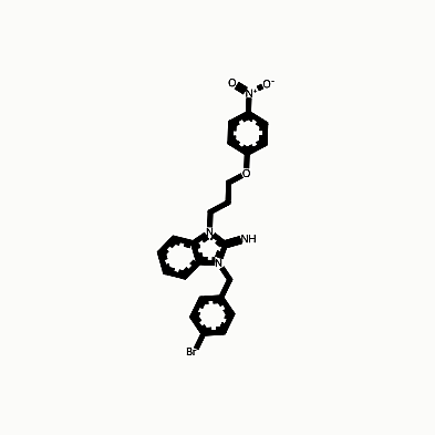 N=c1n(CCCOc2ccc([N+](=O)[O-])cc2)c2ccccc2n1Cc1ccc(Br)cc1